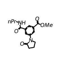 CCCNC(=O)c1cc(C(=O)OC)cc(N2CCCC2=O)c1